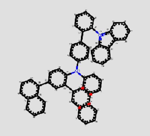 c1ccc(-c2cccc(N(c3ccc(-c4ccccc4-n4c5ccccc5c5ccccc54)cc3)c3ccc(-c4cccc5ccccc45)cc3-c3ccccc3)c2)cc1